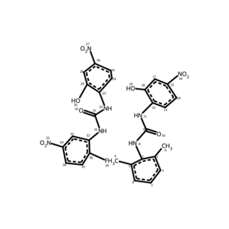 Cc1cccc(C)c1NC(=O)Nc1ccc([N+](=O)[O-])cc1O.O=C(Nc1ccc([N+](=O)[O-])cc1O)Nc1cc([N+](=O)[O-])ccc1F